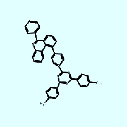 Cc1ccc(-c2nc(-c3ccc(C)cc3)nc(-c3ccc(-c4cccc5c(-c6ccccc6)nc6ccccc6c45)cc3)n2)cc1